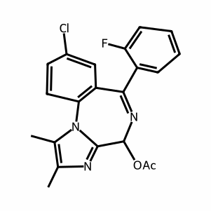 CC(=O)OC1N=C(c2ccccc2F)c2cc(Cl)ccc2-n2c1nc(C)c2C